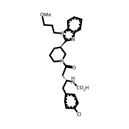 COCCCn1c([C@@H]2CCCN(C(=O)C[C@@H](Cc3ccc(Cl)cc3)NC(=O)O)C2)nc2ccccc21